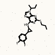 CCCSc1nc(NC2CC2c2ccc(F)c(F)c2)c2ncn(C(C)CC)c2n1